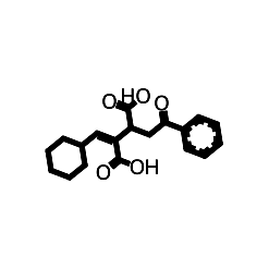 O=C(O)C(=CC1CCCCC1)C(CC(=O)c1ccccc1)C(=O)O